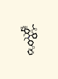 C=CC(=O)Oc1ccccc1/C(=C(/CC)c1ccc(Oc2ncccn2)cc1)c1ccc2[nH]ncc2c1F